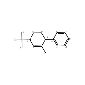 CC1=CN(C(C)(C)C)CCC1c1ccccc1